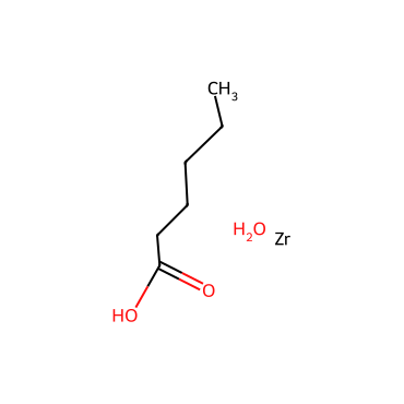 CCCCCC(=O)O.O.[Zr]